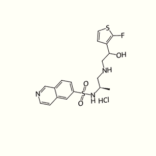 C[C@H](CNCC(O)c1ccsc1F)NS(=O)(=O)c1ccc2cnccc2c1.Cl